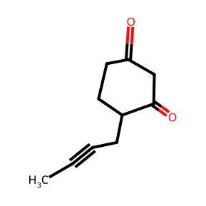 CC#CCC1CCC(=O)CC1=O